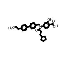 CCCc1ccc(-c2ccc(CN(C(=O)CCC3CCCC3)c3ccc(C(=O)O)c(O)c3)cc2)cc1